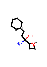 NC(O)(CCC1CCCCC1)C1CCO1